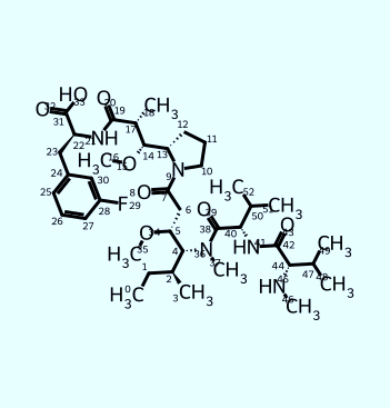 CC[C@H](C)[C@H]([C@@H](CC(=O)N1CCC[C@H]1[C@H](OC)[C@@H](C)C(=O)N[C@@H](Cc1cccc(F)c1)C(=O)O)OC)N(C)C(=O)[C@@H](NC(=O)[C@@H](NC)C(C)C)C(C)C